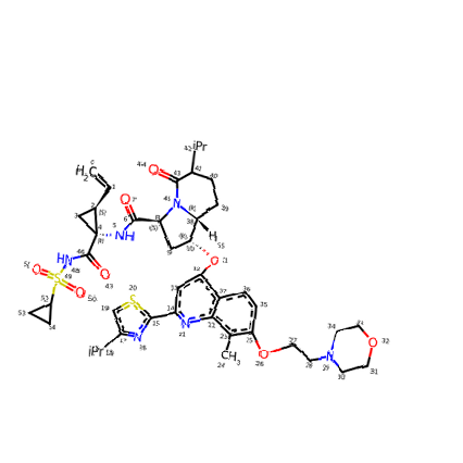 C=C[C@@H]1C[C@]1(NC(=O)[C@@H]1C[C@@H](Oc2cc(-c3nc(C(C)C)cs3)nc3c(C)c(OCCN4CCOCC4)ccc23)[C@H]2CCC(C(C)C)C(=O)N21)C(=O)NS(=O)(=O)C1CC1